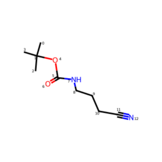 CC(C)(C)OC(=O)NCCCC#N